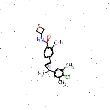 Cc1cc(/C=C/C(c2cc(C)c(Cl)c(C)c2)C(F)(F)F)ccc1C(=O)NC1CSC1